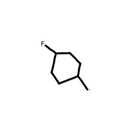 [CH2]C1CCC(F)CC1